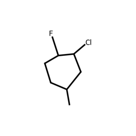 CC1CCC(F)C(Cl)C1